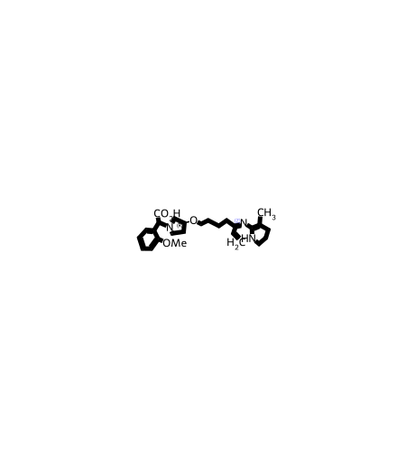 C=C/C(CCCCO[C@@H]1CCN(C(C(=O)O)c2ccccc2OC)C1)=N\C1=C(C)CCCN1